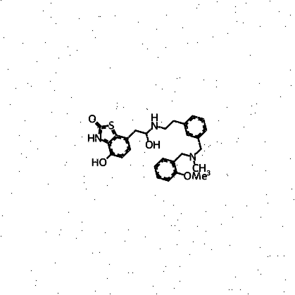 COc1ccccc1CN(C)Cc1cccc(CCNC(O)Cc2ccc(O)c3[nH]c(=O)sc23)c1